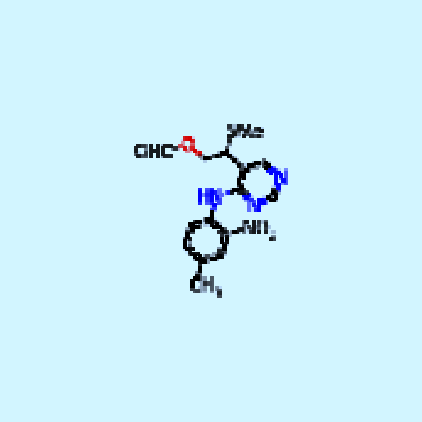 CSC(COC=O)c1cncnc1Nc1ccc(C)cc1[N+](=O)[O-]